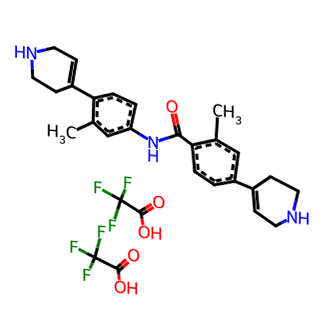 Cc1cc(C2=CCNCC2)ccc1C(=O)Nc1ccc(C2=CCNCC2)c(C)c1.O=C(O)C(F)(F)F.O=C(O)C(F)(F)F